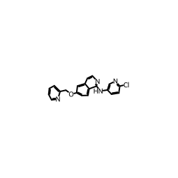 Clc1ccc(Nc2nccc3cc(OCc4ccccn4)ccc23)cn1